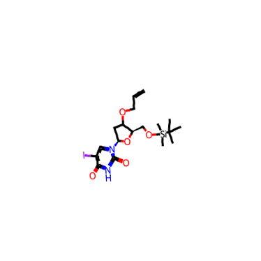 C=CCOC1C[C@H](n2cc(I)c(=O)[nH]c2=O)O[C@@H]1CO[Si](C)(C)C(C)(C)C